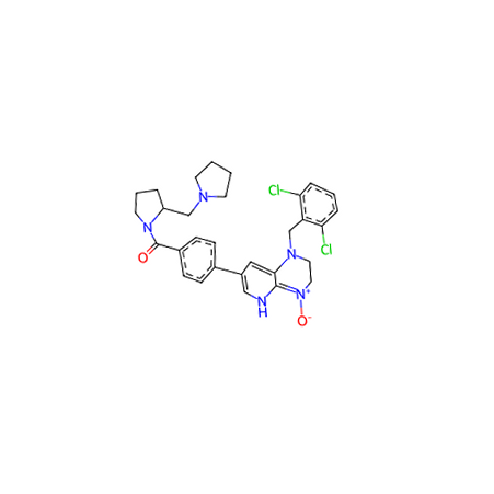 O=C(c1ccc(C2=CNC3=[N+]([O-])CCN(Cc4c(Cl)cccc4Cl)C3=C2)cc1)N1CCCC1CN1CCCC1